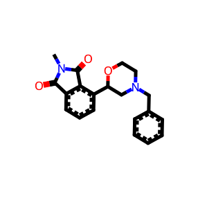 CN1C(=O)c2cccc(C3CN(Cc4ccccc4)CCO3)c2C1=O